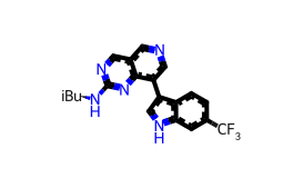 CC[C@H](C)Nc1ncc2cncc(-c3c[nH]c4cc(C(F)(F)F)ccc34)c2n1